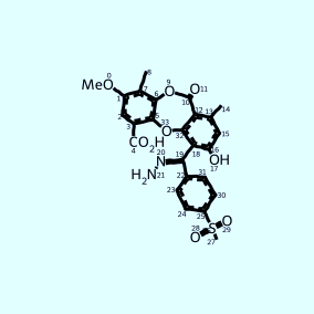 COc1cc(C(=O)O)c2c(c1C)OC(=O)c1c(C)cc(O)c(C(=NN)c3ccc(S(C)(=O)=O)cc3)c1O2